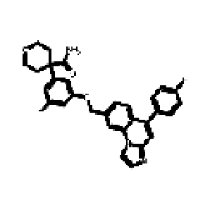 NC(=O)C1(c2cc(F)cc(OCc3ccc4c(-c5ccc(F)cc5)cc5nccn5c4c3)c2)CCOCC1